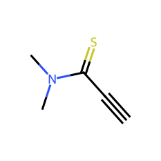 C#CC(=S)N(C)C